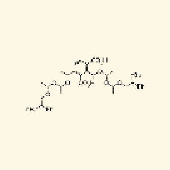 CCCCC(CC)COC(C)OC(C)OC(C)c1ccc(C(=O)O)c(C(C)OC(C)OC(C)OCC(CC)CCCC)c1C(=O)O